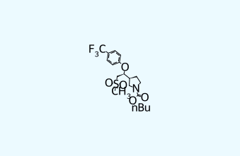 CCCCOC(=O)N1CC[C@H]([C@@H](CS(C)(=O)=O)Oc2ccc(C(F)(F)F)cc2)C1